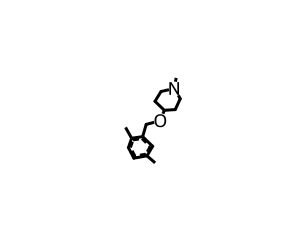 Cc1ccc(C)c(COC2CCN(C)CC2)c1